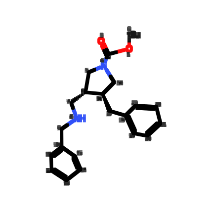 CC(C)(C)OC(=O)N1C[C@@H](CNCc2ccccc2)[C@H](Cc2ccccc2)C1